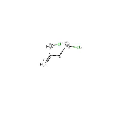 C=CC[SiH2]Cl.CCl